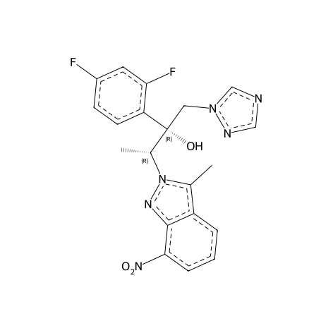 Cc1c2cccc([N+](=O)[O-])c2nn1[C@H](C)[C@](O)(Cn1cncn1)c1ccc(F)cc1F